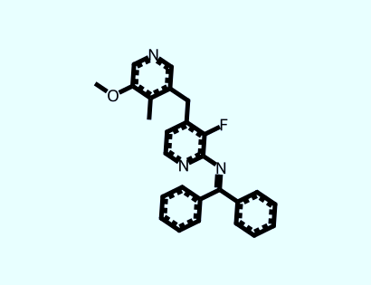 COc1cncc(Cc2ccnc(N=C(c3ccccc3)c3ccccc3)c2F)c1C